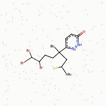 CCCCC(F)CC(CCC(Br)C(Br)Br)(c1ccc(=O)[nH]n1)C(C)CC